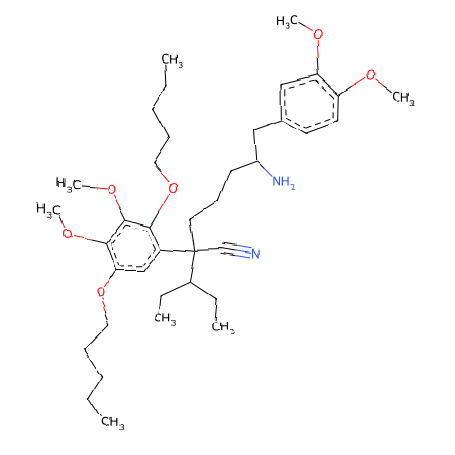 CCCCCOc1cc(C(C#N)(CCCC(N)Cc2ccc(OC)c(OC)c2)C(CC)CC)c(OCCCCC)c(OC)c1OC